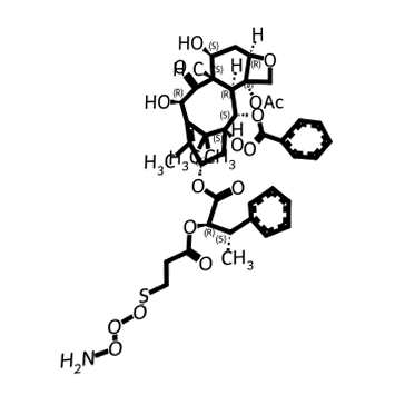 CC(=O)O[C@@]12CO[C@@H]1C[C@H](O)[C@@]1(C)C(=O)[C@H](O)C3=C(C)[C@@H](OC(=O)[C@H](OC(=O)CCSOOON)[C@@H](C)c4ccccc4)C[C@@](O)([C@@H](OC(=O)c4ccccc4)[C@H]21)C3(C)C